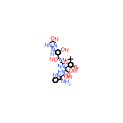 CC(C)(C)c1cc(Br)cc(C(NC(=O)CNC(O)c2cc(O)cc(NC3=NCC(O)CN3)c2)[C@H](NC(O)c2[nH]c3ccccc3c2N)C(=O)O)c1